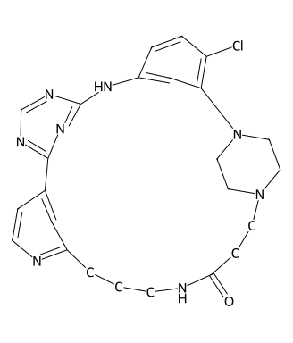 O=C1CCN2CCN(CC2)c2cc(ccc2Cl)Nc2ncnc(n2)-c2ccnc(c2)CCCN1